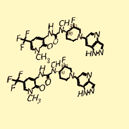 CN(C(=O)Nc1cc(C(F)(F)F)cn(C)c1=O)[C@@H]1CCN(c2cnc3cn[nH]c3c2)C[C@@H]1F.CN(C(=O)Nc1cc(C(F)(F)F)cn(C)c1=O)[C@H]1CCN(c2cnc3cn[nH]c3c2)C[C@H]1F